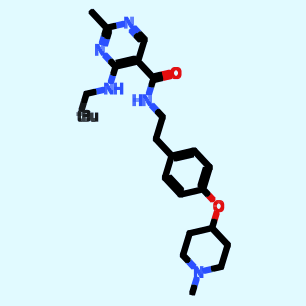 Cc1ncc(C(=O)NCCc2ccc(OC3CCN(C)CC3)cc2)c(NCC(C)(C)C)n1